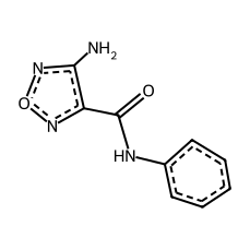 Nc1nonc1C(=O)Nc1ccccc1